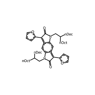 CCCCCCCCCCC(CCCCCCCC)CN1C(=O)C(c2ccco2)=c2cc3c(cc21)=C(c1ccco1)C(=O)N3CC(CCCCCCCC)CCCCCCCCCC